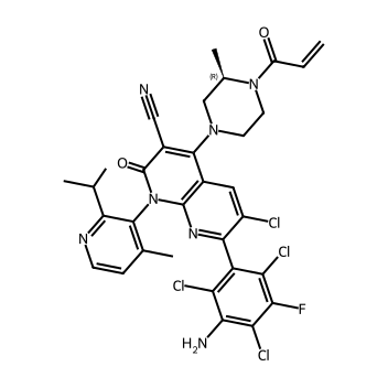 C=CC(=O)N1CCN(c2c(C#N)c(=O)n(-c3c(C)ccnc3C(C)C)c3nc(-c4c(Cl)c(N)c(Cl)c(F)c4Cl)c(Cl)cc23)C[C@H]1C